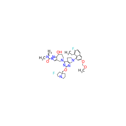 CCc1c(F)ccc2cc(OCOC)cc(N3CCc4c(nc(OC[C@@]56CCCN5C[C@H](F)C6)nc4N4CCC(O)c5nn(C(=O)N(C)C)cc5C4)C3)c12